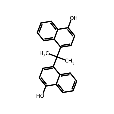 CC(C)(c1ccc(O)c2ccccc12)c1ccc(O)c2ccccc12